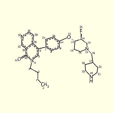 CCCCn1cc(-c2ccc(O[C@H]3CCN(CC4CCNCC4)C[C@@H]3F)cc2)c2ccncc2c1=O